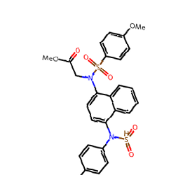 COC(=O)CN(c1ccc(N(c2ccc(OC)cc2)[SH](=O)=O)c2ccccc12)S(=O)(=O)c1ccc(OC)cc1